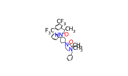 CC(C(=O)NC1(c2ccccc2)CCC(N2CCN(Cc3ccccc3)C(C)(C)C2=O)CC1)c1cc(C(F)(F)F)cc(C(F)(F)F)c1